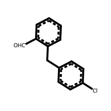 O=Cc1ccccc1Cc1ccc(Cl)cc1